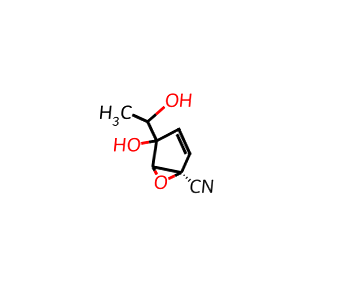 CC(O)C1(O)C=C[C@@]2(C#N)OC12